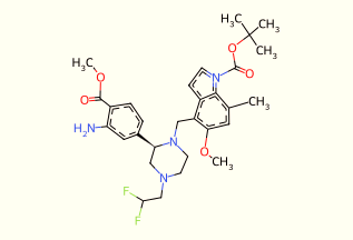 COC(=O)c1ccc([C@@H]2CN(CC(F)F)CCN2Cc2c(OC)cc(C)c3c2ccn3C(=O)OC(C)(C)C)cc1N